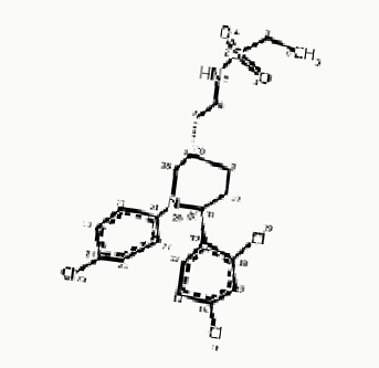 CCS(=O)(=O)NCC[C@@H]1CC[C@@H](c2ccc(Cl)cc2Cl)N(c2ccc(Cl)cc2)C1